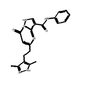 Cc1n[nH]c(C)c1CCc1cc(=O)n2[nH]cc(C(=O)Nc3ccccc3)c2n1